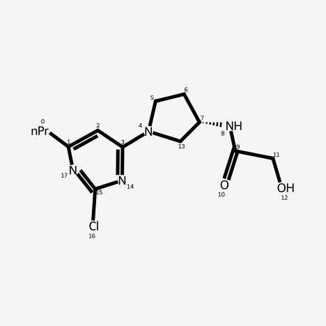 CCCc1cc(N2CC[C@H](NC(=O)CO)C2)nc(Cl)n1